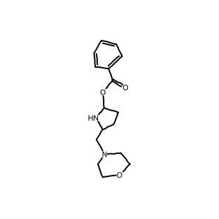 O=C(OC1CCC(CN2CCOCC2)N1)c1ccccc1